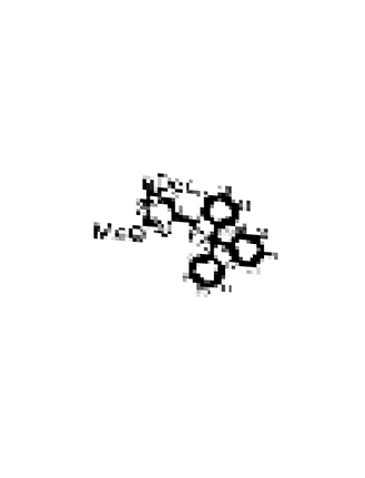 CCCCCCCCCCOCC(COC(c1ccccc1)(c1ccccc1)c1ccccc1)OC(=O)OC